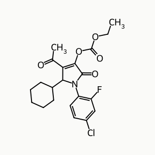 CCOC(=O)OC1=C(C(C)=O)C(C2CCCCC2)N(c2ccc(Cl)cc2F)C1=O